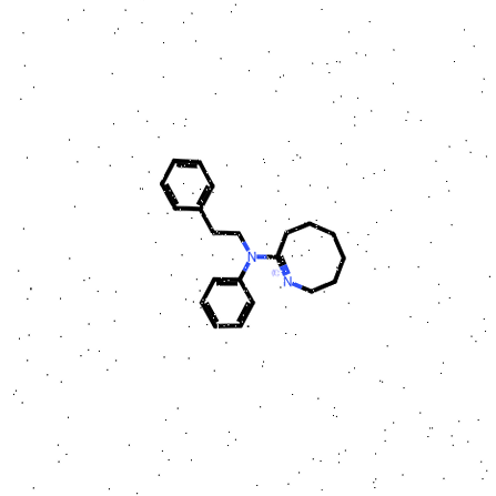 c1ccc(CCN(/C2=N/CCCCCC2)c2ccccc2)cc1